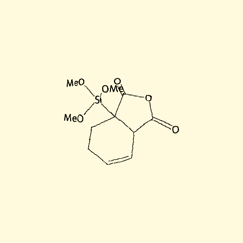 CO[Si](OC)(OC)C12CCC=CC1C(=O)OC2=O